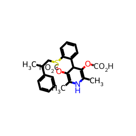 CC1=C(OC(=O)O)C(c2ccccc2SCC(C)c2ccccc2)C(OC(=O)O)=C(C)N1